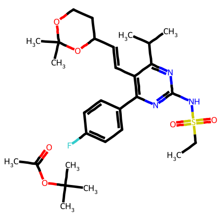 CC(=O)OC(C)(C)C.CCS(=O)(=O)Nc1nc(-c2ccc(F)cc2)c(/C=C/C2CCOC(C)(C)O2)c(C(C)C)n1